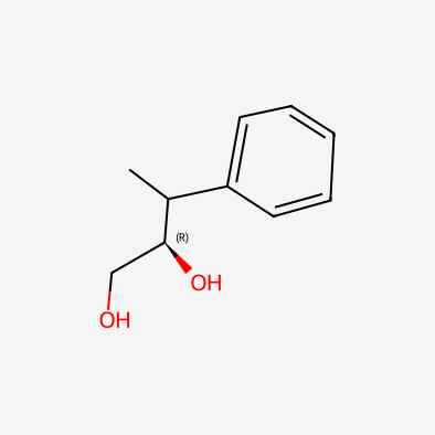 CC(c1ccccc1)[C@@H](O)CO